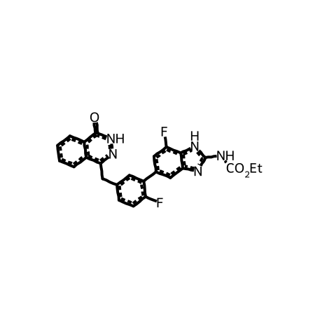 CCOC(=O)Nc1nc2cc(-c3cc(Cc4n[nH]c(=O)c5ccccc45)ccc3F)cc(F)c2[nH]1